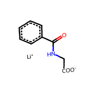 O=C([O-])CNC(=O)c1ccccc1.[Li+]